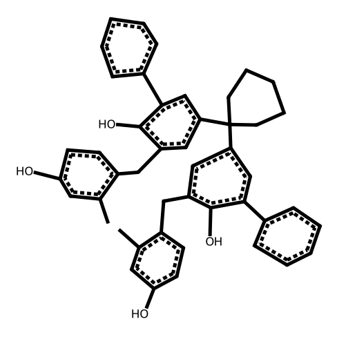 Cc1cc(O)ccc1Cc1cc(C2(c3cc(Cc4ccc(O)cc4C)c(O)c(-c4ccccc4)c3)CCCCC2)cc(-c2ccccc2)c1O